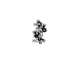 COCC1OC(n2cnc3c(=O)[nH]c(NNc4cccc5c4CN(C4CCC(=O)NC4=O)C5=O)nc32)C(O)C1OC